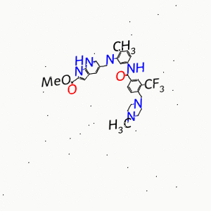 COC(=O)c1cc2cc(/C=N/c3cc(NC(=O)c4ccc(CN5CCN(C)CC5)c(C(F)(F)F)c4)ccc3C)cnc2[nH]1